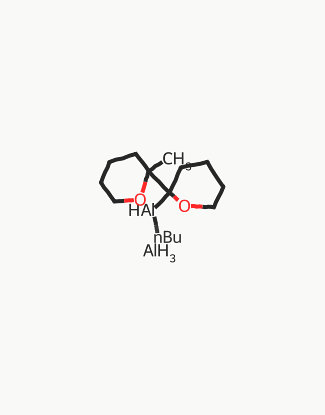 CCC[CH2][AlH][C]1(C2(C)CCCCO2)CCCCO1.[AlH3]